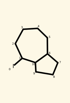 IC1CCCCC2CCCC12